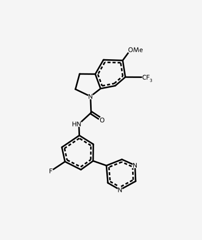 COc1cc2c(cc1C(F)(F)F)N(C(=O)Nc1cc(F)cc(-c3cncnc3)c1)CC2